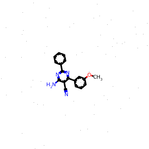 COc1cccc(-c2nc(-c3ccccc3)nc(N)c2C#N)c1